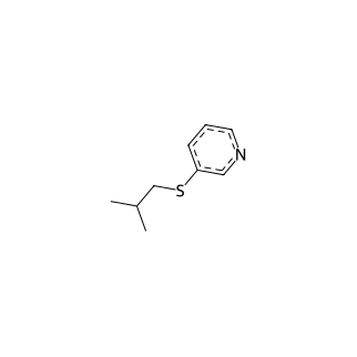 CC(C)CSc1cccnc1